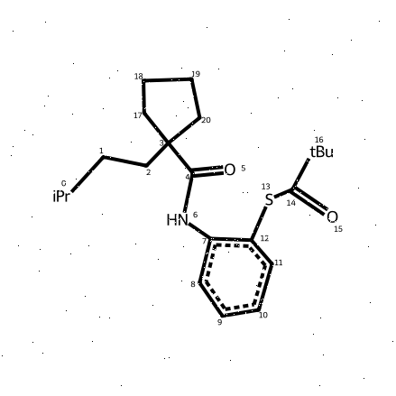 CC(C)CCC1(C(=O)Nc2ccccc2SC(=O)C(C)(C)C)CCCC1